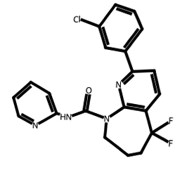 O=C(Nc1ccccn1)N1CCCC(F)(F)c2ccc(-c3cccc(Cl)c3)nc21